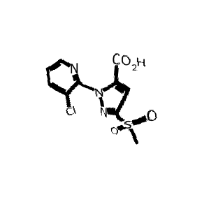 CS(=O)(=O)c1cc(C(=O)O)n(-c2ncccc2Cl)n1